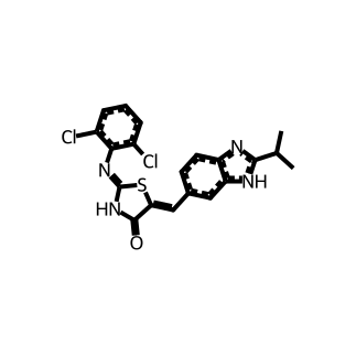 CC(C)c1nc2ccc(/C=C3\S/C(=N\c4c(Cl)cccc4Cl)NC3=O)cc2[nH]1